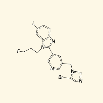 FCCCn1c(-c2cncc(Cn3cncc3Br)c2)nc2ccc(I)cc21